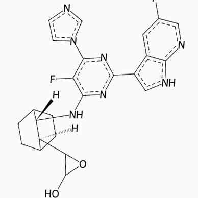 OC1OC1[C@H]1C2CCC(CC2)[C@@H]1Nc1nc(-c2c[nH]c3ncc(F)cc23)nc(-n2ccnc2)c1F